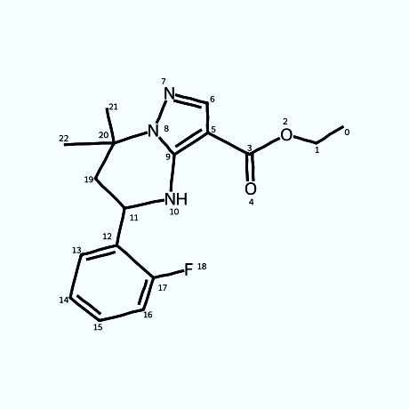 CCOC(=O)c1cnn2c1NC(c1ccccc1F)CC2(C)C